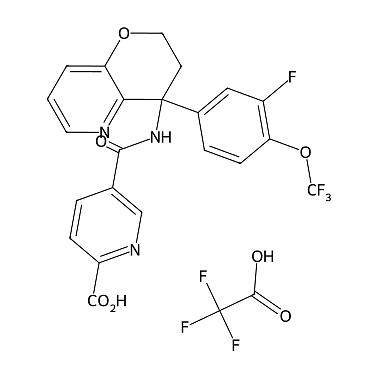 O=C(NC1(c2ccc(OC(F)(F)F)c(F)c2)CCOc2cccnc21)c1ccc(C(=O)O)nc1.O=C(O)C(F)(F)F